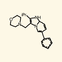 CC(C)C1=C(CN2CCOCC2)N2C=C(c3ccccc3)C=CC2N1